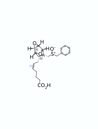 O=C(O)CCC/C=C\C[C@H]1[C@@H](C[S+]([O-])Cc2ccccc2)[C@@H]2O[C@H]1[C@@H]1O[C@@H]12